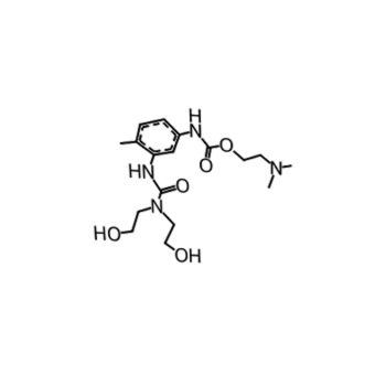 Cc1ccc(NC(=O)OCCN(C)C)cc1NC(=O)N(CCO)CCO